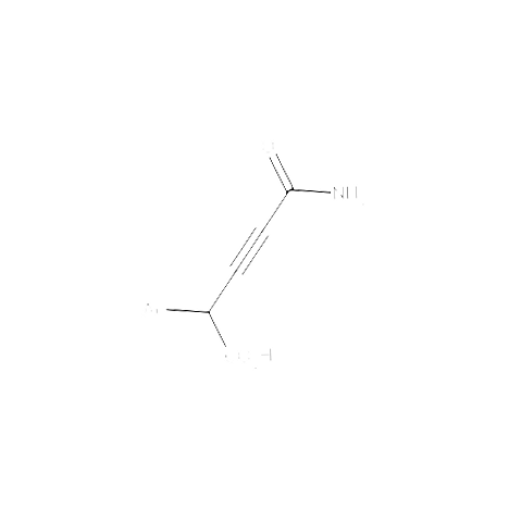 CC(=O)C(C#CC(N)=O)C(=O)O